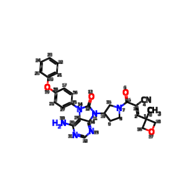 CC1(C=C(C#N)C(=O)N2CCC(n3c(=O)n(-c4ccc(Oc5ccccc5)cc4)c4c(N)ncnc43)C2)COC1